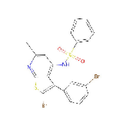 Cc1cc(NS(=O)(=O)c2ccccc2)c2c(-c3cccc(Br)c3)c(Br)sc2n1